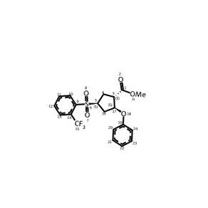 COC(=O)[C@H]1C[C@H](S(=O)(=O)c2ccccc2C(F)(F)F)C[C@@H]1Oc1ccccc1